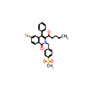 CCCCC(=O)c1c(-c2ccccc2)c2cc(Br)ccc2c(=O)n1Cc1ccc(S(C)(=O)=O)cc1